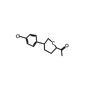 CC(=O)C1CCC(c2ccc(Cl)cc2)CC1